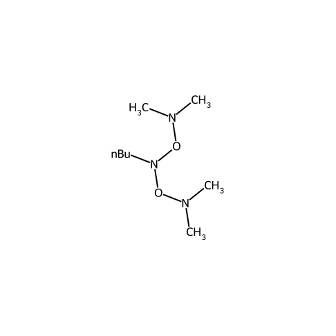 CCCCN(ON(C)C)ON(C)C